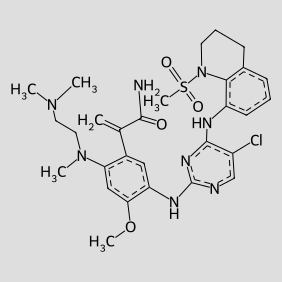 C=C(C(N)=O)c1cc(Nc2ncc(Cl)c(Nc3cccc4c3N(S(C)(=O)=O)CCC4)n2)c(OC)cc1N(C)CCN(C)C